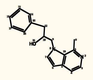 Cc1nccc2ccn(CC(O)Cc3ccccc3)c12